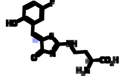 N[C@@H](CCNC1=NC(=O)/C(=C/c2cc(F)ccc2O)S1)C(=O)O